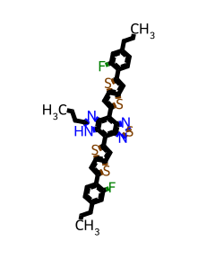 CCCc1ccc(-c2cc3sc(-c4c5nsnc5c(-c5cc6sc(-c7ccc(CCC)cc7F)cc6s5)c5[nH]c(CCC)nc45)cc3s2)c(F)c1